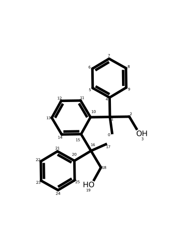 CC(CO)(c1ccccc1)c1ccccc1C(C)(CO)c1ccccc1